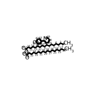 CCCCCCCCCCCCCCCCCC(=O)[O-].CCCCCCCCCCCCCCCCCC(=O)[O-].[Ca+2].c1ccc(-c2ccccn2)cc1